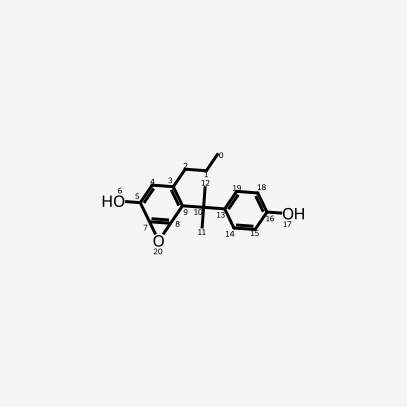 CCCc1cc(O)c2c(c1C(C)(C)c1ccc(O)cc1)O2